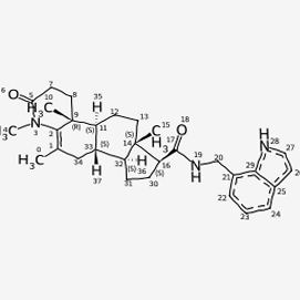 CC1=C2N(C)C(=O)CC[C@]2(C)[C@H]2CC[C@]3(C)[C@@H](C(=O)NCc4cccc5cc[nH]c45)CC[C@H]3[C@@H]2C1